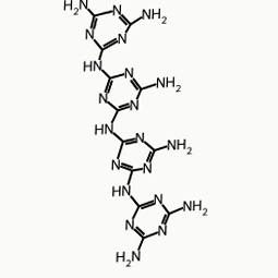 Nc1nc(N)nc(Nc2nc(N)nc(Nc3nc(N)nc(Nc4nc(N)nc(N)n4)n3)n2)n1